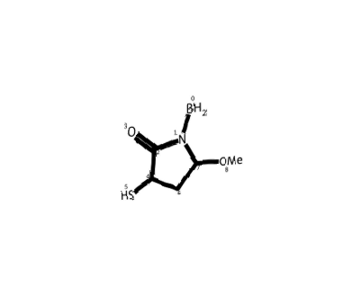 BN1C(=O)C(S)CC1OC